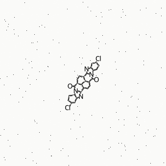 O=c1c2ccc3c4c(ccc(c24)c2nc4cc(Cl)ccc4n12)c(=O)n1c2ccc(Cl)cc2nc31